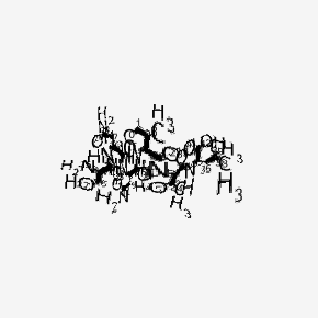 CC[C@H](C)[C@H](NC(=O)[C@H](CC(N)=O)NC(=O)[C@H](CC(N)=O)NC(=O)[C@@H](N)CO)C(=O)N[C@H](C(=O)N[C@@H](CC(C)C)C(=O)O)[C@@H](C)O